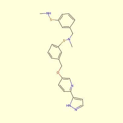 CNSc1cccc(CN(C)Sc2cccc(COc3ccc(-c4ccn[nH]4)nc3)c2)c1